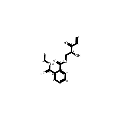 C=CC(=O)C(O)COC(=O)c1ccccc1C(=O)OCC